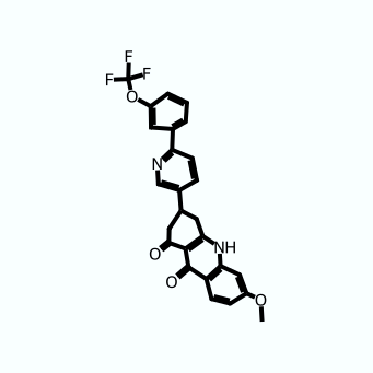 COc1ccc2c(=O)c3c([nH]c2c1)CC(c1ccc(-c2cccc(OC(F)(F)F)c2)nc1)CC3=O